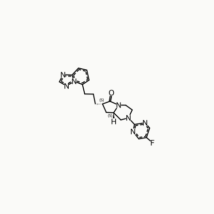 O=C1[C@@H](CCCc2cccc3ncnn23)C[C@H]2CN(c3ncc(F)cn3)CCN12